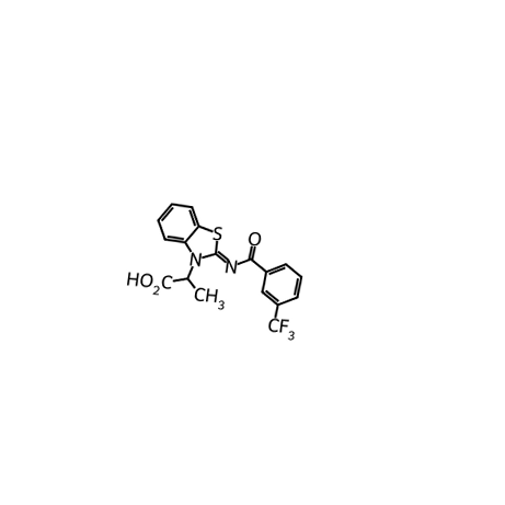 CC(C(=O)O)n1c(=NC(=O)c2cccc(C(F)(F)F)c2)sc2ccccc21